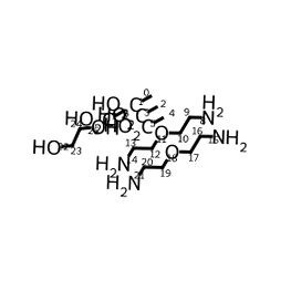 CC(=O)O.CC(=O)O.CC(=O)O.CC(=O)O.NCCOCCN.NCCOCCN.OCCO